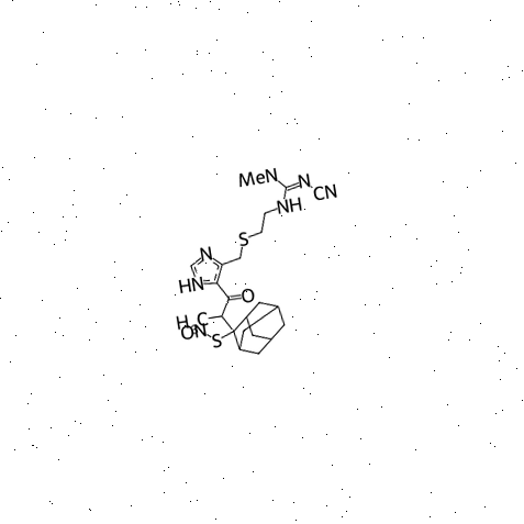 CN/C(=N/C#N)NCCSCc1nc[nH]c1C(=O)C(C)C1(SN=O)C2CC3CC(C2)CC1C3